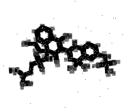 CON(C)CCS(=O)(=O)NC1(CCC(C)C)C(=O)C(C2=NS(O)(O)c3cc(NS(C)(=O)=O)ccc3N2)=C(O)c2ccccc21